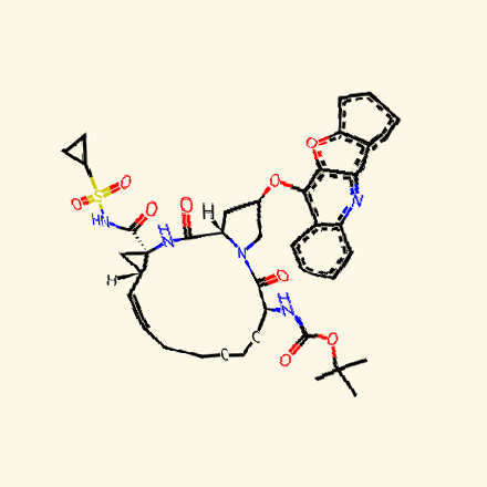 CC(C)(C)OC(=O)N[C@H]1CCCCC/C=C\[C@@H]2C[C@@]2(C(=O)NS(=O)(=O)C2CC2)NC(=O)[C@@H]2C[C@@H](Oc3c4ccccc4nc4c3oc3ccccc34)CN2C1=O